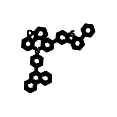 c1ccc(-c2cccc3c2sc2ccc(-c4ccc(N(c5ccc(-c6cc7ccccc7c7ccccc67)cc5)c5cccc6oc7ccccc7c56)cc4)cc23)cc1